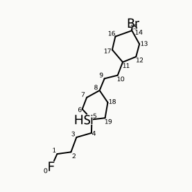 FCCCC[SiH]1CCC(CCC2CCC(Br)CC2)CC1